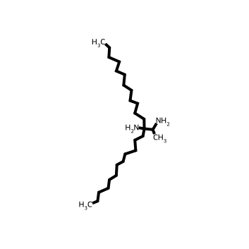 CCCCCCCCCCCCC(N)(CCCCCCCCCCCC)C(C)N